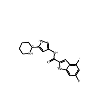 O=C(Nc1cc([C@@H]2CCCCN2)[nH]n1)c1cc2c(F)cc(F)cc2[nH]1